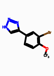 FC(F)(F)Oc1ccc(-c2c[nH]nn2)cc1Br